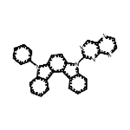 c1ccc(-n2c3ccccc3c3c4c5ccccc5n(-c5ncc6nccnc6n5)c4ccc32)cc1